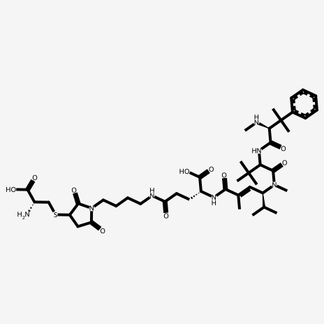 CN[C@H](C(=O)NC(C(=O)N(C)[C@H](/C=C(\C)C(=O)N[C@H](CCC(=O)NCCCCN1C(=O)CC(SC[C@H](N)C(=O)O)C1=O)C(=O)O)C(C)C)C(C)(C)C)C(C)(C)c1ccccc1